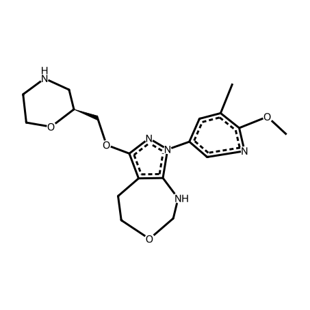 COc1ncc(-n2nc(OC[C@@H]3CNCCO3)c3c2NCOCC3)cc1C